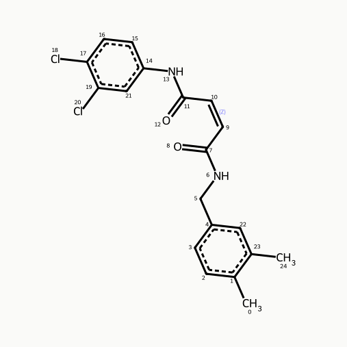 Cc1ccc(CNC(=O)/C=C\C(=O)Nc2ccc(Cl)c(Cl)c2)cc1C